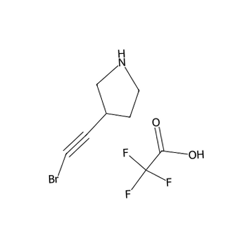 BrC#CC1CCNC1.O=C(O)C(F)(F)F